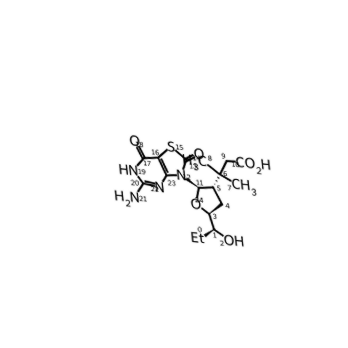 CC[C@H](O)[C@@H]1C[C@@H](C(C)(C)CC(=O)O)[C@H](n2c(=O)sc3c(=O)[nH]c(N)nc32)O1